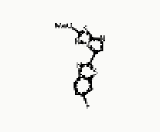 COc1nn2c(-c3nc4ccc(F)cc4s3)cnc2s1